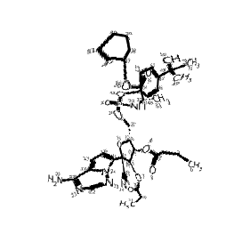 CCC(=O)O[C@H]1[C@@H](OC(=O)CC)[C@](C#N)(c2ccc3c(N)ncnn23)O[C@@H]1COP(=O)(N[C@@H](C)C(=O)OC1CCCCC1)Oc1ccc(C(C)(C)C)cc1